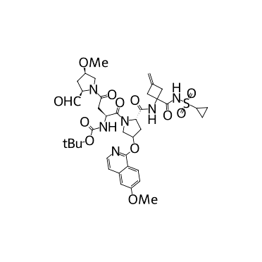 C=C1CC(NC(=O)[C@@H]2CC(Oc3nccc4cc(OC)ccc34)CN2C(=O)[C@H](CC(=O)N2C[C@H](OC)C[C@@H]2C=O)NC(=O)OC(C)(C)C)(C(=O)NS(=O)(=O)C2CC2)C1